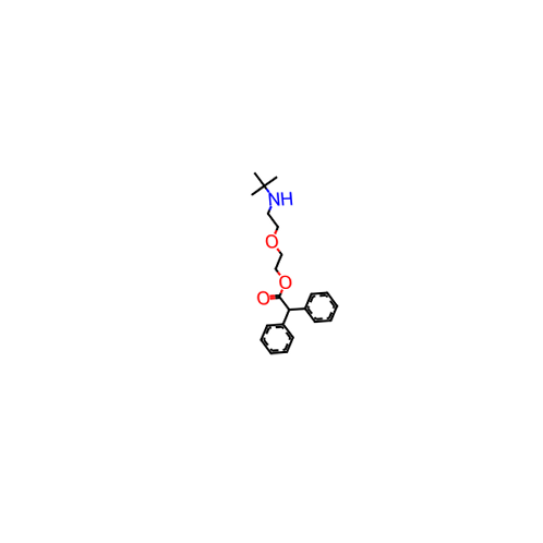 CC(C)(C)NCCOCCOC(=O)C(c1ccccc1)c1ccccc1